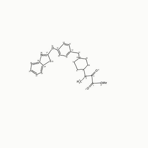 COC(=O)C(=O)N(C)C1CCN(Cc2ccc(Oc3nc4ccccc4s3)cc2)CC1